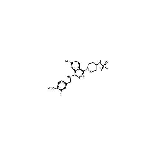 COc1ccc(CNc2nnc(N3CCC(NS(C)(=O)=O)CC3)c3ccc(C#N)cc23)cc1Cl